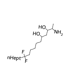 CCCCCCCC(F)(F)CCCCCC(O)CC(O)C(C)N